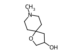 CN1CCC2(CC1)CC(O)CO2